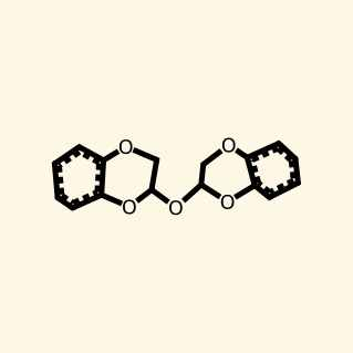 c1ccc2c(c1)OCC(OC1COc3ccccc3O1)O2